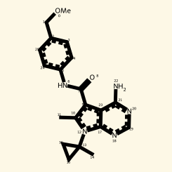 COCc1ccc(NC(=O)c2c(C)n(C3(C)CC3)c3ncnc(N)c23)cc1